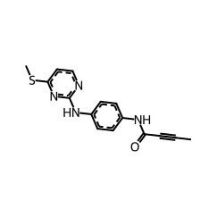 CC#CC(=O)Nc1ccc(Nc2nccc(SC)n2)cc1